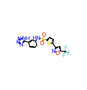 O=S(=O)(NC1C=C(c2nnn[nH]2)C=CC1)c1ccc(-c2cc(C(F)(F)F)on2)s1